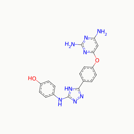 Nc1cc(Oc2ccc(-c3nnc(Nc4ccc(O)cc4)[nH]3)cc2)nc(N)n1